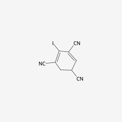 N#CC1=CC(C#N)CC(C#N)=C1I